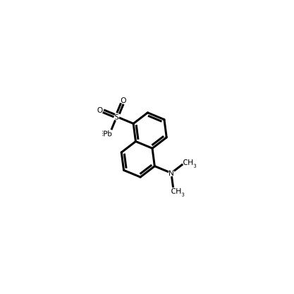 CN(C)c1cccc2c([S](=O)(=O)[Pb])cccc12